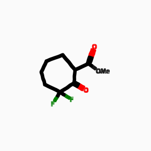 COC(=O)C1CCCCC(F)(F)C1=O